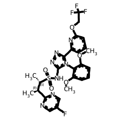 COc1cccc(OC)c1-n1c(NS(=O)(=O)[C@@H](C)[C@H](C)c2ncc(F)cn2)nnc1-c1cccc(OCC(F)(F)F)n1